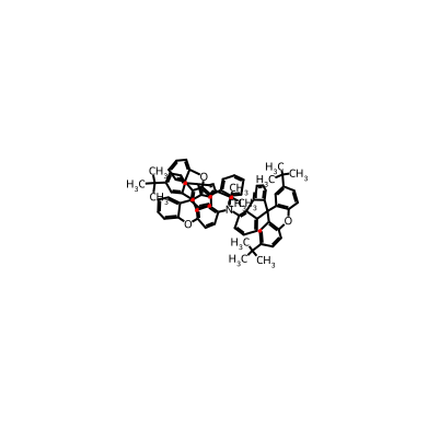 CC(C)(C)c1ccc2c(c1)C1(c3cc(C(C)(C)C)ccc3O2)c2ccccc2-c2c(N(c3ccc4c(c3)C3(c5ccccc5O4)c4cc(C(C)(C)C)ccc4-c4ccc(C(C)(C)C)cc43)c3ccccc3-c3cccc4c3oc3ccccc34)cccc21